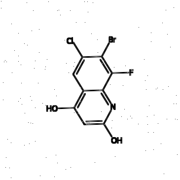 Oc1cc(O)c2cc(Cl)c(Br)c(F)c2n1